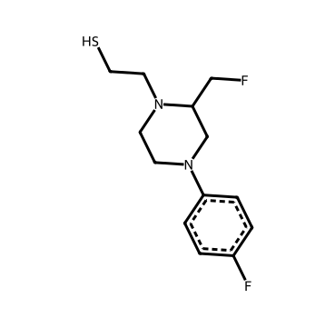 FCC1CN(c2ccc(F)cc2)CCN1CCS